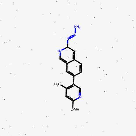 CSc1cc(C)c(-c2ccc3c(c2)=CNC(N=NN)C=3)cn1